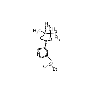 CC[S+]([O-])Cc1cncc(B2OC(C)(C)C(C)(C)O2)c1